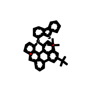 CC(C)(C)c1cc(-c2cccc3cccc(-c4ccccc4N(c4ccccc4)c4cccc5c4sc4ccccc45)c23)cc(C(C)(C)C)c1